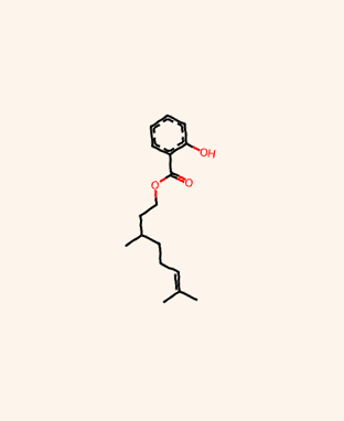 CC(C)=CCCC(C)CCOC(=O)c1ccccc1O